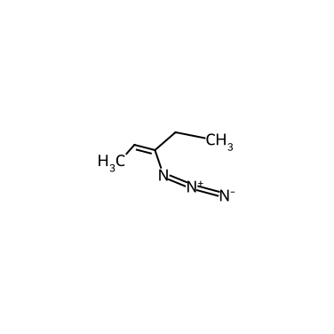 CC=C(CC)N=[N+]=[N-]